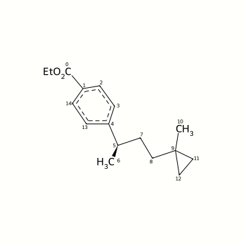 CCOC(=O)c1ccc([C@H](C)CCC2(C)CC2)cc1